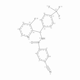 N#Cc1ccc(C(=O)NC(c2ccc(C(F)(F)F)cc2)c2ncccc2F)cc1